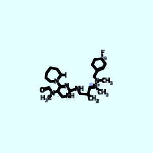 C=C(/C=[N+](\C)N(C)CC1=CC[C@@H](F)CC1)CNC1N=C(N2CCCCCC2I)C(N(C)C=O)CN1